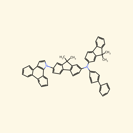 CC1(C)c2ccccc2-c2ccc(N(c3ccc(-c4ccccc4)cc3)c3ccc4c(c3)C(C)(C)c3cc(-n5ccc6c7ccccc7c7ccccc7c65)ccc3-4)cc21